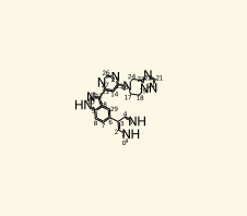 CN/C=C(\C=N)c1ccc2[nH]nc(-c3cc(N4CCn5ncnc5C4)ncn3)c2c1